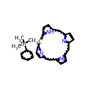 C1=Cc2cc3ccc(cc4nc(cc5ccc(cc1n2)[nH]5)C=C4)[nH]3.[CH3][Zn]([CH3])([CH3])[c]1ccccc1